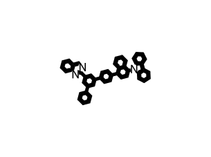 c1ccc(-c2cc(-c3ccc(-c4ccc(-n5c6ccccc6c6ccccc65)c5ccccc45)cc3)cc(-c3ncc4ccccc4n3)c2)cc1